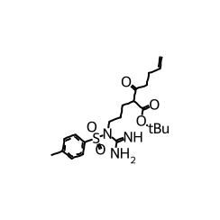 C=CCCC(=O)C(CCCN(C(=N)N)S(=O)(=O)c1ccc(C)cc1)C(=O)OC(C)(C)C